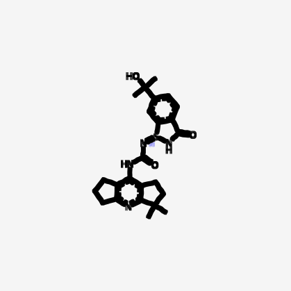 CC(C)(O)c1ccc2c(c1)/S(=N/C(=O)Nc1c3c(nc4c1CCC4(C)C)CCC3)NC2=O